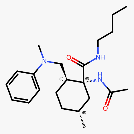 CCCCNC(=O)[C@@]1(NC(C)=O)C[C@H](C)CC[C@H]1CN(C)c1ccccc1